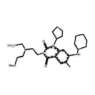 CCOC(=O)CN(CCOC)CCn1c(=O)c2cc(F)c(NC3CCCCC3)cc2n(C2CCCC2)c1=O